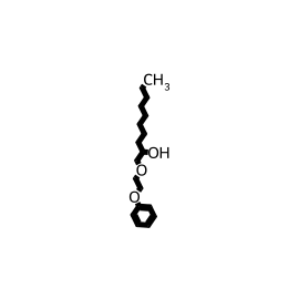 CCCCCCCCC(O)COCCOc1ccccc1